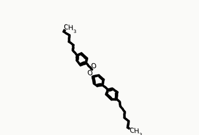 CCCCCCCc1ccc(-c2ccc(OC(=O)c3ccc(CCCCCC)cc3)cc2)cc1